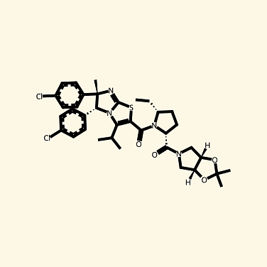 CC[C@@H]1CC[C@H](C(=O)N2C[C@@H]3OC(C)(C)O[C@@H]3C2)N1C(=O)C1=C(C(C)C)N2C(=N[C@@](C)(c3ccc(Cl)cc3)[C@H]2c2ccc(Cl)cc2)S1